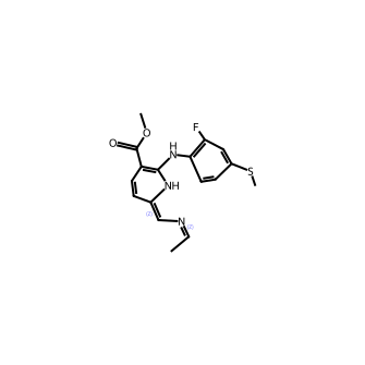 C/C=N\C=C1\C=CC(C(=O)OC)=C(Nc2ccc(SC)cc2F)N1